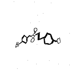 O=S(=O)(/C=C/c1ccc(Cl)cc1)Cc1ccc(Br)cc1